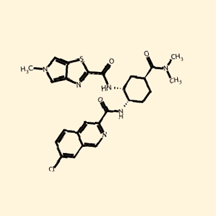 CN(C)C(=O)[C@H]1CC[C@H](NC(=O)c2cc3ccc(Cl)cc3cn2)[C@H](NC(=O)c2nc3cn(C)cc3s2)C1